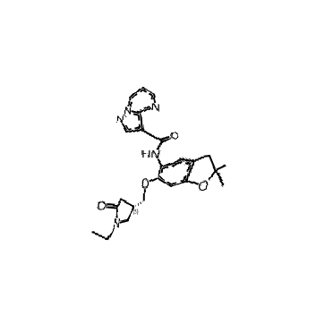 CCN1C[C@@H](COc2cc3c(cc2NC(=O)c2cnn4cccnc24)CC(C)(C)O3)CC1=O